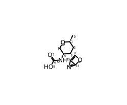 C[C@H]1CC[C@@H](NC(=O)O)CO1.c1oc2nc1-2